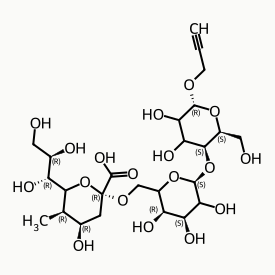 C#CCO[C@@H]1O[C@@H](CO)[C@@H](O[C@@H]2OC(CO[C@]3(C(=O)O)C[C@@H](O)[C@@H](C)C([C@H](O)[C@H](O)CO)O3)[C@H](O)[C@H](O)C2O)C(O)C1O